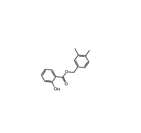 Cc1ccc(COC(=O)c2ccccc2O)cc1C